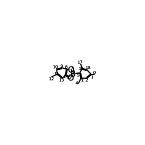 Cc1cc(C)c(B2Oc3ccc(C)cc3O2)c(C)c1